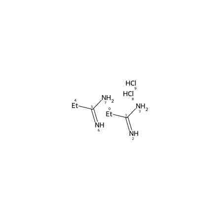 CCC(=N)N.CCC(=N)N.Cl.Cl